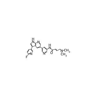 CN(C)CC=CC(=O)Nc1cncc(-c2cnc3[nH]cc(-c4ccc(F)nc4)c3c2)c1